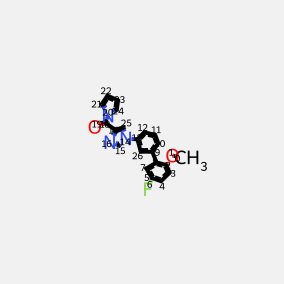 COc1ccc(F)cc1-c1cccc(-n2cnc(C(=O)n3cccc3)c2)c1